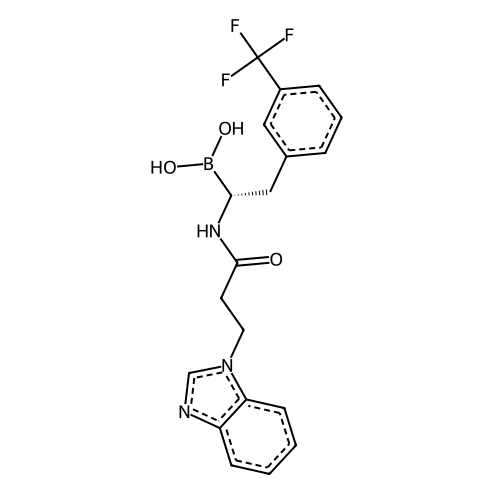 O=C(CCn1cnc2ccccc21)N[C@@H](Cc1cccc(C(F)(F)F)c1)B(O)O